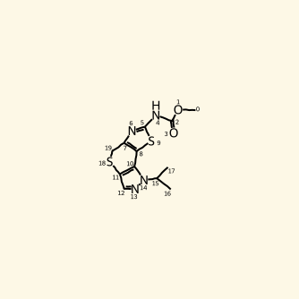 COC(=O)Nc1nc2c(s1)-c1c(cnn1C(C)C)SC2